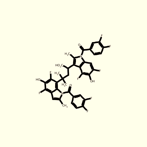 Cc1c(C(CC(C)(C)c2c(F)c(O)c(F)c3[c]c(C)n(C(=O)c4ccc(F)c(F)c4)c23)C(=O)O)c2c(F)c(O)c(F)cc2n1C(=O)c1ccc(F)c(F)c1